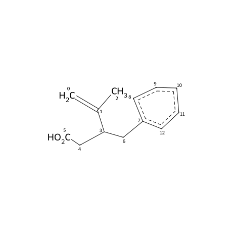 C=C(C)C(CC(=O)O)Cc1ccccc1